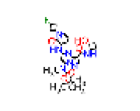 CN(C(=O)OC(C)(C)C)c1cc(Nc2cccn([C@H]3C[C@H](F)C3)c2=O)nc2c(C(=O)NC3CCC3O)cnn12